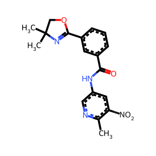 Cc1ncc(NC(=O)c2cccc(C3=NC(C)(C)CO3)c2)cc1[N+](=O)[O-]